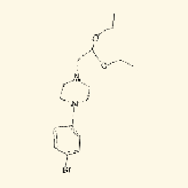 CCOC(CN1CCN(c2ccc(Br)cc2)CC1)OCC